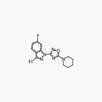 CCc1nn(-c2noc(N3CCCCC3)n2)c2cc(F)ccc12